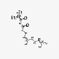 CCN(CC)C(=O)CC(=O)CCC=C(C)CCC=C(C)C